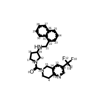 O=C(N1CCc2ncc(C(F)(F)F)cc2C1)N1CCC(NCc2cccc3ccccc23)C1